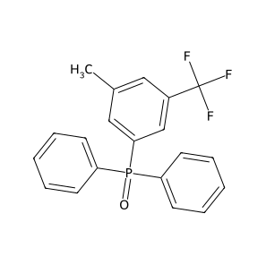 Cc1cc(C(F)(F)F)cc(P(=O)(c2ccccc2)c2ccccc2)c1